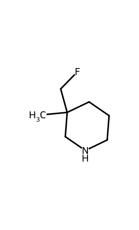 CC1(CF)CCCNC1